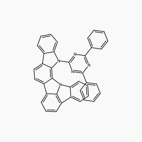 c1ccc(-c2nc(-c3ccccc3)nc(-n3c4ccccc4c4ccc5c6cccc7c8ccccc8n(c76)c5c43)n2)cc1